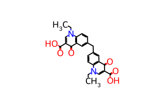 CCn1cc(C(=O)O)c(=O)c2cc(Cc3ccc4c(c3)c(=O)c(C(=O)O)cn4CC)ccc21